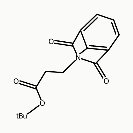 Cc1c2cccc1C(=O)N(CCC(=O)OC(C)(C)C)C2=O